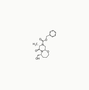 C[C@H]1C(=O)N2C(CN1C(=O)OCc1ccccc1)OCCC[C@H]2CO